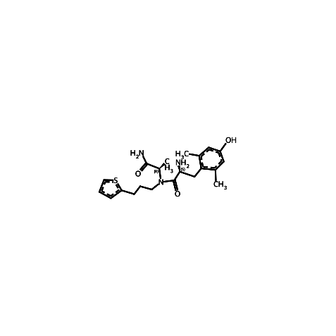 Cc1cc(O)cc(C)c1C[C@H](N)C(=O)N(CCCc1cccs1)[C@H](C)C(N)=O